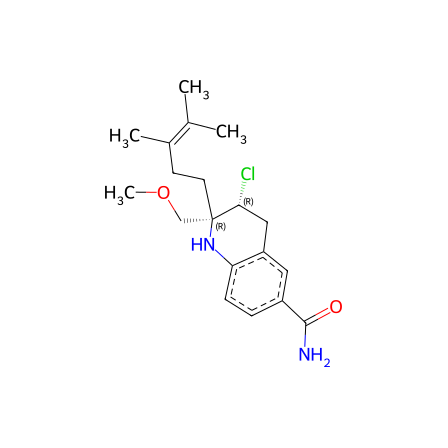 COC[C@@]1(CCC(C)=C(C)C)Nc2ccc(C(N)=O)cc2C[C@H]1Cl